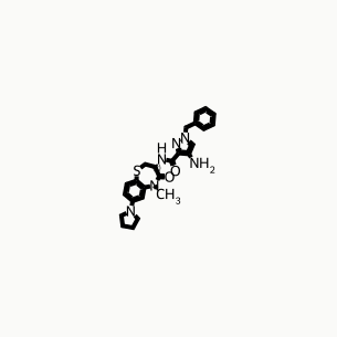 CN1C(=O)[C@@H](NC(=O)c2nn(Cc3ccccc3)cc2N)CSc2ccc(N3CCCC3)cc21